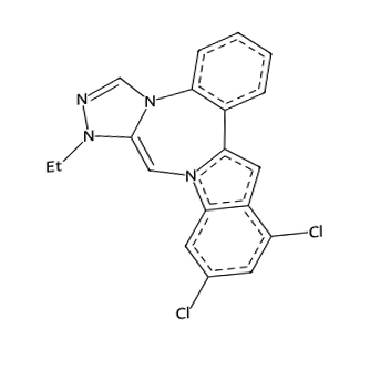 CCN1N=CN2C1=Cn1c(cc3c(Cl)cc(Cl)cc31)-c1ccccc12